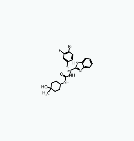 CC1(O)CCC(NC(=O)N[C@H](Cc2ccc(Br)c(F)c2)c2nc3ccccc3[nH]2)CC1